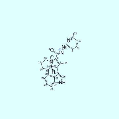 CC1=C(C(=O)/N=N/c2cccc(C)n2)[N+]2(C)CCCC3c4cccc5[nH]cc(c45)C1[C@H]32